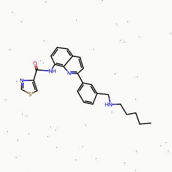 CCCCCNCc1cccc(-c2ccc3cccc(NC(=O)c4cscn4)c3n2)c1